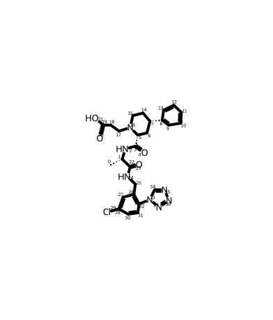 C[C@H](NC(=O)[C@H]1C[C@@H](c2ccccc2)CCN1CCC(=O)O)C(=O)NCc1cc(Cl)ccc1-n1cnnn1